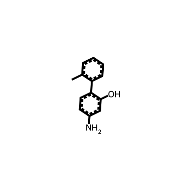 Cc1ccccc1-c1ccc(N)cc1O